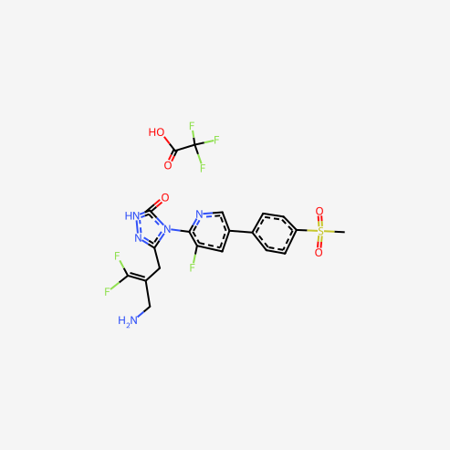 CS(=O)(=O)c1ccc(-c2cnc(-n3c(CC(CN)=C(F)F)n[nH]c3=O)c(F)c2)cc1.O=C(O)C(F)(F)F